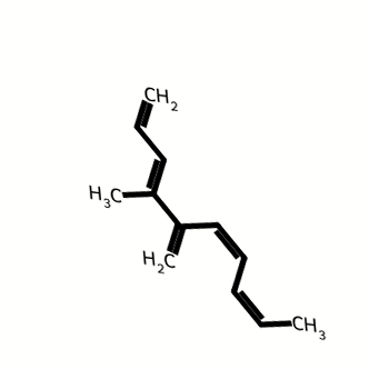 C=C/C=C(\C)C(=C)/C=C\C=C/C